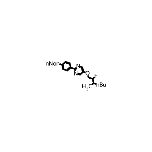 CCCCCCCCCc1ccc(-c2ncc(OCC(F)C(C)CCCC)cn2)cc1